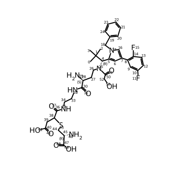 CC(C)(C)[C@H](c1cc(-c2cc(F)ccc2F)cn1Cc1ccccc1)N(CC[C@H](N)C(=O)NCCNC(=O)C(CC(=O)O)SC[C@H](N)C(=O)O)C(=O)CO